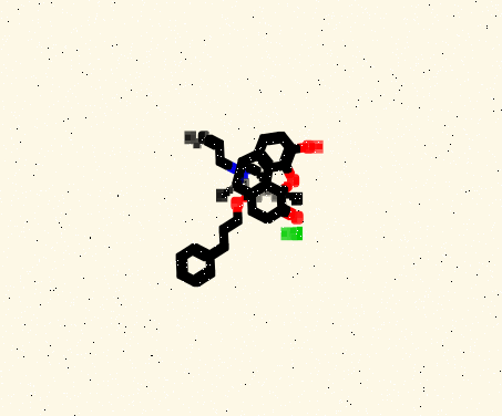 C=CCN1CC[C@]23c4c5ccc(O)c4O[C@H]2C(=O)CC[C@@]3(OCCCc2ccccc2)[C@H]1C5.Cl